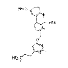 COc1ccc(F)c(-c2ccc(COc3cc(CCC(=O)O)nc(C)n3)nc2CC(C)(C)C)c1